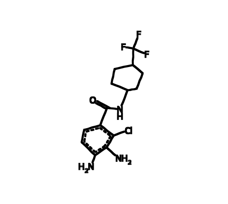 Nc1ccc(C(=O)NC2CCC(C(F)(F)F)CC2)c(Cl)c1N